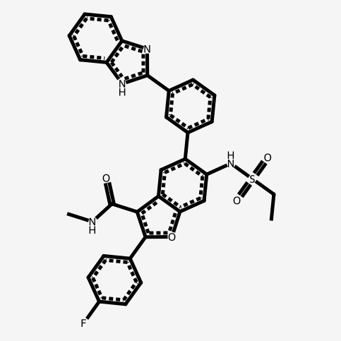 CCS(=O)(=O)Nc1cc2oc(-c3ccc(F)cc3)c(C(=O)NC)c2cc1-c1cccc(-c2nc3ccccc3[nH]2)c1